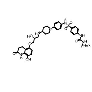 CCCCCCNC(=O)Nc1ccc(S(=O)(=O)Nc2ccc(N3CCC(NC[C@H](O)COc4ccc(O)c5c4CCC(=O)N5)CC3)cc2)cc1